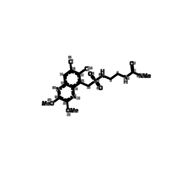 CNC(=O)NCCNS(=O)(=O)Cc1c(Cl)c(Cl)cc2nc(OC)c(OC)nc12